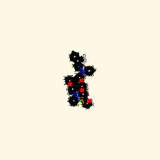 CC1(C)c2ccccc2-c2ccc(N(c3ccccc3)c3ccc4c(c3)-c3ccccc3C43c4ccccc4-c4c(N(c5ccccc5)c5cccc6c5sc5ccccc56)cccc43)cc21